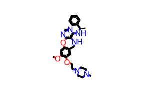 COc1cc2c(cc1OCCN1CCN(C)CC1)CNc1c(N[C@H](C)c3ccccc3)ncnc1O2